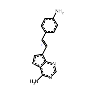 Nc1ccc(/C=C/c2csc3c(N)ncnc23)cc1